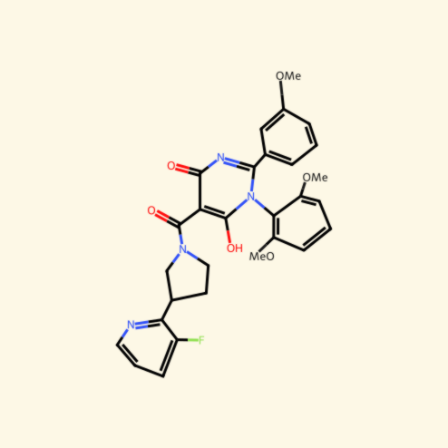 COc1cccc(-c2nc(=O)c(C(=O)N3CCC(c4ncccc4F)C3)c(O)n2-c2c(OC)cccc2OC)c1